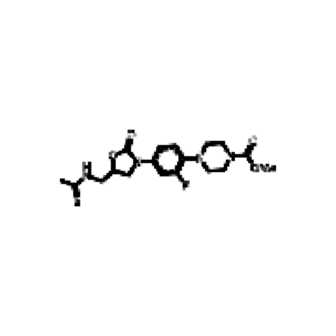 COC(=O)N1CCN(c2ccc(N3CC(CNC(C)=S)OC3=O)cc2F)CC1